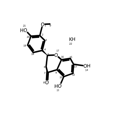 COc1cc([C@@H]2CC(=O)c3c(O)cc(O)cc3O2)ccc1O.[KH]